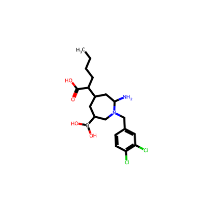 CCCCC(C(=O)O)C1CC(B(O)O)CN(Cc2ccc(Cl)c(Cl)c2)C(N)C1